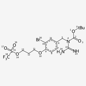 CC(C)(C)OC(=O)N(Cc1ccc(OCCCOS(=O)(=O)C(F)(F)F)c(Br)c1)C(=N)N